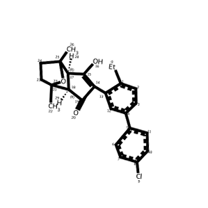 CCc1ccc(-c2ccc(Cl)cc2)cc1C1=C(O)[C@H]2[C@@H](C1=O)C1(C)CCC2(C)O1